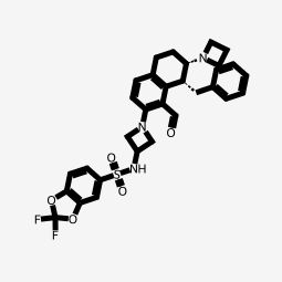 O=Cc1c(N2CC(NS(=O)(=O)c3ccc4c(c3)OC(F)(F)O4)C2)ccc2c1[C@@H](Cc1ccccc1)[C@@H](N1CCC1)CC2